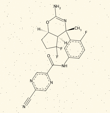 C[C@]1(c2cc(NC(=O)c3cnc(C#N)cn3)ccc2F)N=C(N)O[C@@H]2CCC(F)(F)[C@@H]21